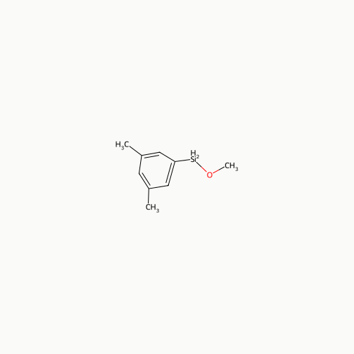 CO[SiH2]c1cc(C)cc(C)c1